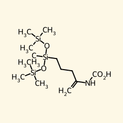 C=C(CCC[Si](C)(O[Si](C)(C)C)O[Si](C)(C)C)NC(=O)O